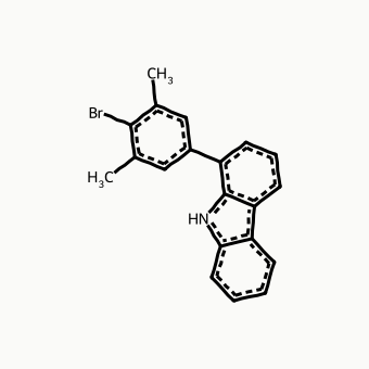 Cc1cc(-c2cccc3c2[nH]c2ccccc23)cc(C)c1Br